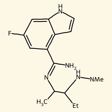 CCC(NNC)C(C)/N=C(\N)c1cc(F)cc2[nH]ccc12